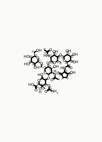 CC(=O)N[C@H]1[C@H](OC2C(O)O[C@H](C(=O)O)[C@@](C)(O)[C@@H]2OC(N)=O)O[C@H](CO[C@@H]2O[C@H](CO)[C@@H](O)[C@H](O)C2O)[C@@H](O[C@@H]2O[C@H](C)C(O[C@@H]3O[C@H](C(=O)NC4=C(O)CCC4=O)[C@H](O)[C@H](O)[C@H]3O)[C@H](O)[C@H]2NC(C)=O)[C@@H]1O